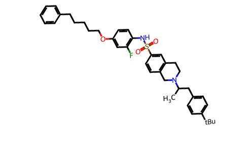 CC(Cc1ccc(C(C)(C)C)cc1)N1CCc2cc(S(=O)(=O)Nc3ccc(OCCCCCc4ccccc4)cc3F)ccc2C1